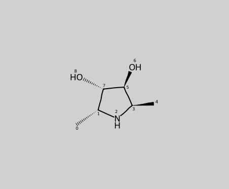 C[C@H]1N[C@H](C)[C@H](O)[C@H]1O